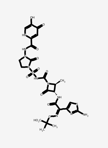 C[C@H]1[C@H](NC(=O)/C(=N\OC(C)(C)C(=O)O)c2csc(N)n2)C(=O)N1C(=O)NS(=O)(=O)N1CCN(NC(=O)c2cc(=O)c(O)c[nH]2)C1=O